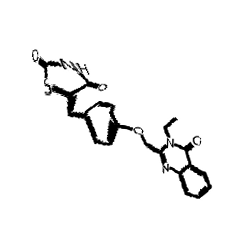 CCn1c(COc2ccc(/C=C3/SC(=O)NC3=O)cc2)nc2ccccc2c1=O